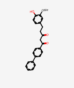 COc1cc(CCC(=O)CC(=O)c2ccc(-c3ccccc3)cc2)ccc1O